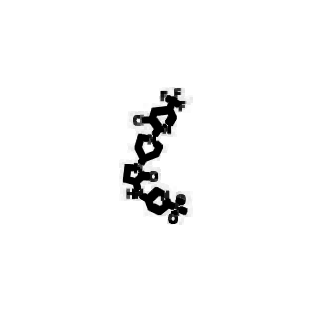 CS(=O)(=O)c1ccc(NC2CCN(C3CCN(c4ncc(C(F)(F)F)cc4Cl)CC3)C2=O)cn1